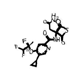 C[C@@](F)(Oc1cc(C(=O)NC2(CC(N)=O)C(=O)SC2=O)ncc1C1CC1)C(F)F